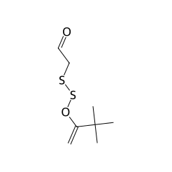 C=C(OSSCC=O)C(C)(C)C